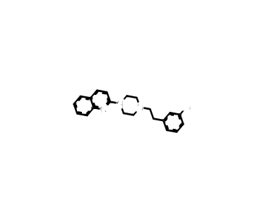 Brc1cccc(CCN2CCN(c3ccc4ccccc4n3)CC2)c1